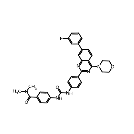 CN(C)C(=O)c1ccc(NC(=O)Nc2ccc(-c3nc(N4CCOCC4)c4ccc(-c5cccc(F)c5)cc4n3)cc2)cc1